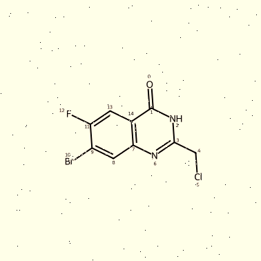 O=c1[nH]c(CCl)nc2cc(Br)c(F)cc12